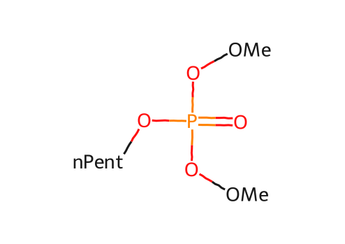 CCCCCOP(=O)(OOC)OOC